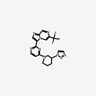 FC(F)(F)c1cn2c(-c3nccc(N4CCCC(n5ccnn5)C4)n3)cnc2cn1